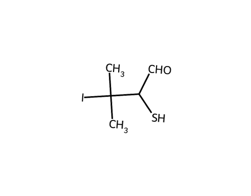 CC(C)(I)C(S)C=O